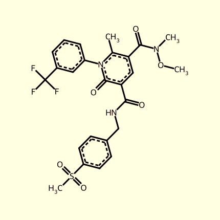 CON(C)C(=O)c1cc(C(=O)NCc2ccc(S(C)(=O)=O)cc2)c(=O)n(-c2cccc(C(F)(F)F)c2)c1C